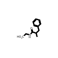 [CH2]C(Cc1ccccc1)C(=O)NCC(=O)O